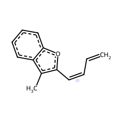 C=C/C=C\c1oc2ccccc2c1C